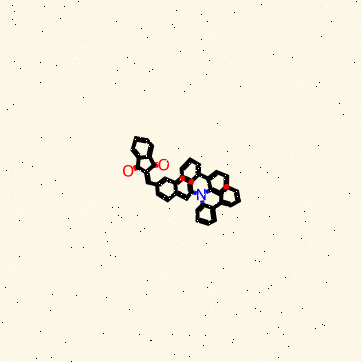 O=C1C(=Cc2ccc3cc(N(c4ccccc4-c4ccccc4)c4ccccc4-c4ccccc4)ccc3c2)C(=O)c2ccccc21